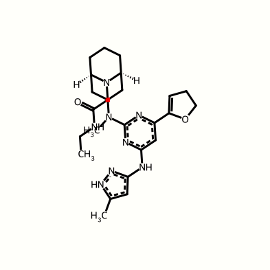 CCNC(=O)CN1[C@@H]2CCC[C@H]1CC(N(C)c1nc(Nc3cc(C)[nH]n3)cc(C3=CCCO3)n1)C2